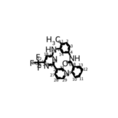 Cc1ccc(NC(=O)c2ccccc2)cc1Nc1cc(C(F)(F)F)nc(-c2cccnc2)n1